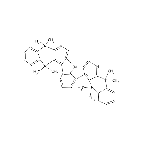 CC1(C)c2ccccc2C(C)(C)c2c1ncc1c2c2cccc3c4c5c(ncc4n1c23)C(C)(C)c1ccccc1C5(C)C